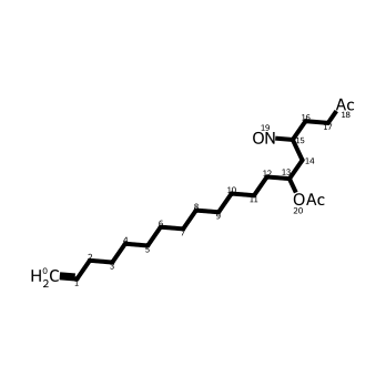 C=CCCCCCCCCCCCC(CC(CCC(C)=O)N=O)OC(C)=O